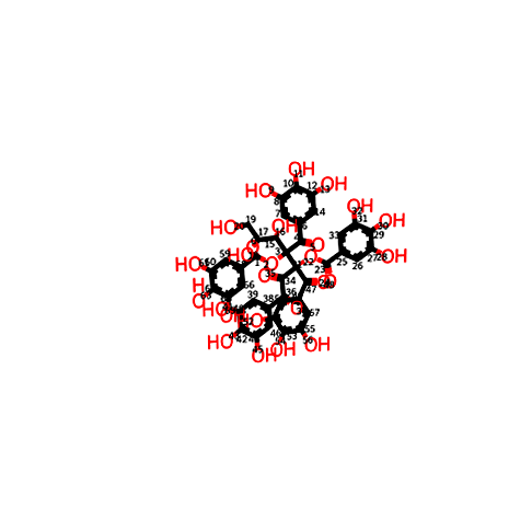 O=C(OC(C(=O)c1cc(O)c(O)c(O)c1)(C(O)C(O)CO)[C@@](OC(=O)c1cc(O)c(O)c(O)c1)(C(=O)C(=O)c1cc(O)c(O)c(O)c1)C(=O)c1cc(O)c(O)c(O)c1)c1cc(O)c(O)c(O)c1